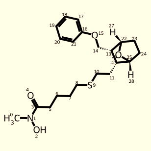 CN(O)C(=O)CCCCSCC[C@@H]1[C@H](COc2ccccc2)[C@@H]2CC[C@H]1O2